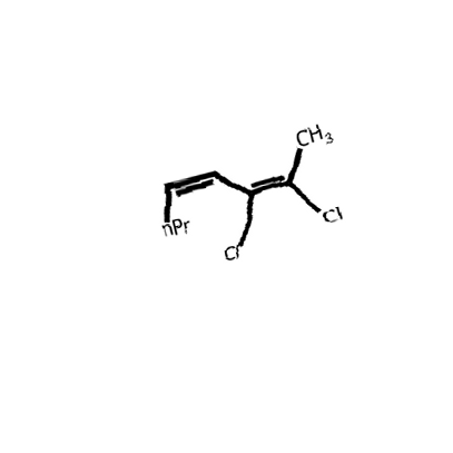 CCC/C=C\C(Cl)=C(/C)Cl